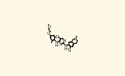 COCCOc1ccc(Nc2nc(Nc3cc4c(cc3OC)CCN(C)C4)ncc2Cl)c(C)c1